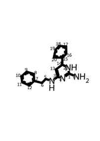 NC1=NC(NCCc2ccccc2)=CC(c2ccccc2)N1